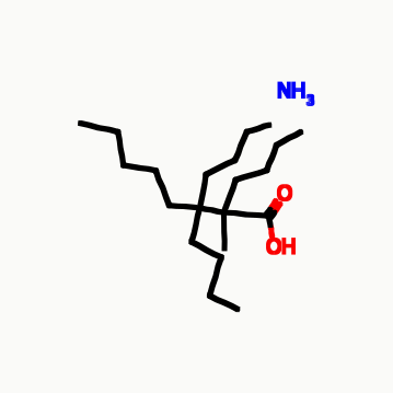 CCCCCC(CCCC)(CCCC)C(C)(CCCC)C(=O)O.N